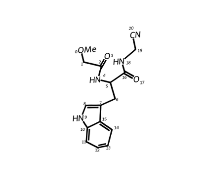 COCC(=O)NC(Cc1c[nH]c2ccccc12)C(=O)NCC#N